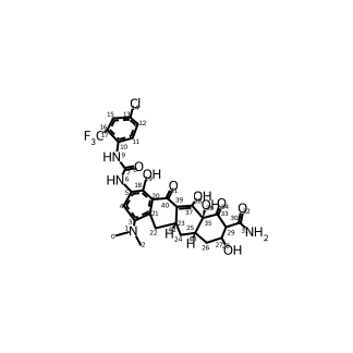 CN(C)c1cc(NC(=O)Nc2ccc(Cl)cc2C(F)(F)F)c(O)c2c1C[C@H]1C[C@H]3CC(O)C(C(N)=O)C(=O)[C@@]3(O)C(O)=C1C2=O